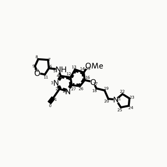 C#Cc1nc(NC2CCCOC2)c2cc(OC)c(OCCCN3CCCC3)cc2n1